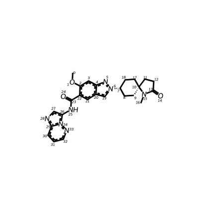 COc1cc2nn([C@H]3CC[C@@]4(CCC(=O)N4C)CC3)cc2cc1C(=O)Nc1cnc2cccnn12